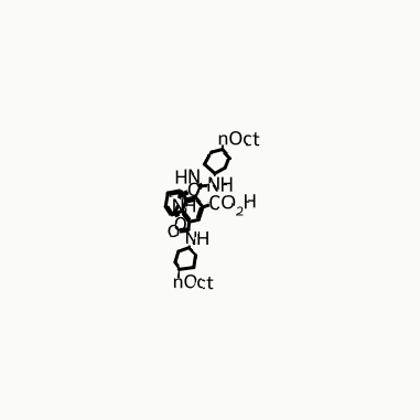 CCCCCCCC[C@H]1CC[C@H](NC(=N)c2c(C(=O)O)cc(C(=O)N[C@H]3CC[C@H](CCCCCCCC)CC3)c3c4ccc(c(=O)[nH]c4=O)c23)CC1